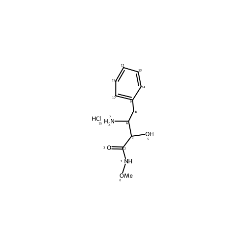 CONC(=O)C(O)C(N)Cc1ccccc1.Cl